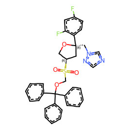 O=S(=O)(COC(c1ccccc1)(c1ccccc1)c1ccccc1)[C@H]1CO[C@@](Cn2cncn2)(c2ccc(F)cc2F)C1